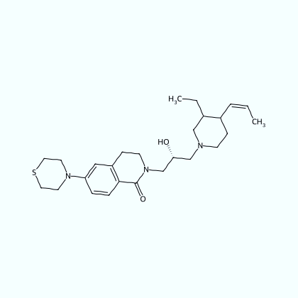 C/C=C\C1CCN(C[C@@H](O)CN2CCc3cc(N4CCSCC4)ccc3C2=O)CC1CC